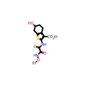 CCONC(=O)C(=O)Nc1sc2c(c1C(=O)OCC)CCC(O)C2